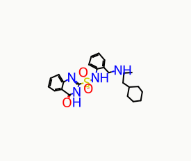 CC(CC1CCCCC1)NCc1ccccc1NS(=O)(=O)c1nc2ccccc2c(=O)[nH]1